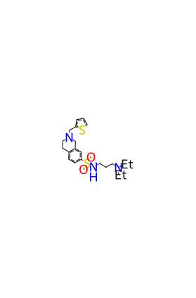 CCN(CC)CCCNS(=O)(=O)c1ccc2c(c1)CN(Cc1cccs1)CC2